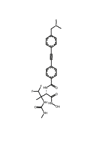 CNC(=O)NC(C)(C(F)F)[C@H](NC(=O)c1ccc(C#Cc2ccc(CN(C)C)cc2)cc1)C(=O)NO